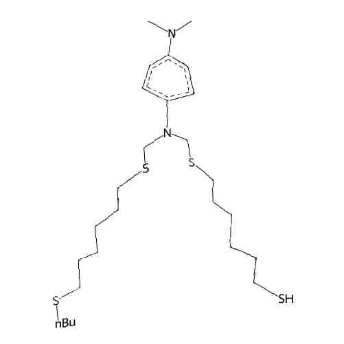 CCCCSCCCCCCSCN(CSCCCCCCS)c1ccc(N(C)C)cc1